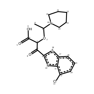 CC(OC(C(=O)O)C(=O)c1nc2c(Cl)cccc2s1)N1CCCCC1